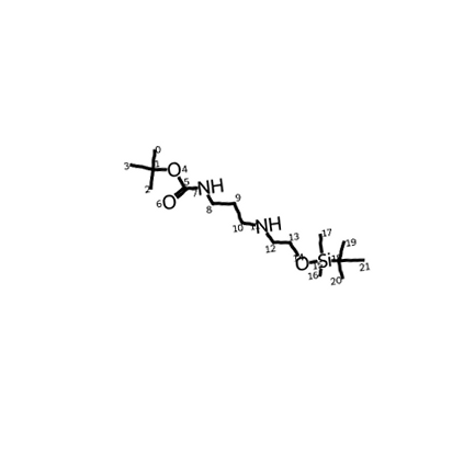 CC(C)(C)OC(=O)NCCCNCCO[Si](C)(C)C(C)(C)C